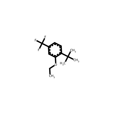 CCOc1cc(C(F)(F)F)ccc1C(C)(C)C